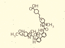 CC(O)CN1CCc2c(nc(C(=O)Nc3cccc(-c4cccc(NC(=O)c5nc6c(n5C)CCN(CCC5CCC(C(=O)O)CC5)C6)c4Cl)c3Cl)n2C)C1